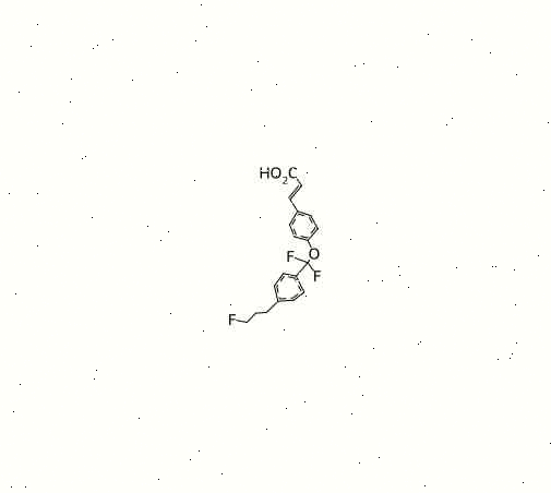 O=C(O)C=Cc1ccc(OC(F)(F)c2ccc(CCCF)cc2)cc1